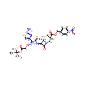 CC(C)(C)OC(=O)CON=C(C(=O)NC1C(=O)N2CC(Cl)(C(=O)OCc3ccc([N+](=O)[O-])cc3)CS[C@H]12)c1nsc(N)n1